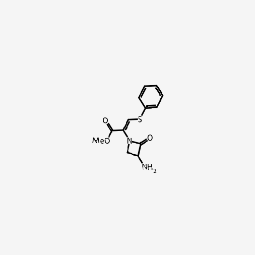 COC(=O)C(=CSc1ccccc1)N1CC(N)C1=O